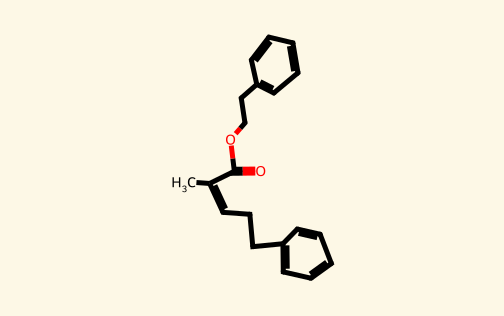 CC(=CCCc1ccccc1)C(=O)OCCc1ccccc1